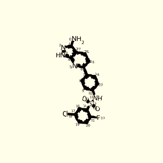 Nc1n[nH]c2nc(-c3ccc(NS(=O)(=O)c4cc(Cl)ccc4F)cc3)ccc12